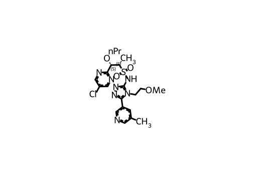 CCCO[C@@H](c1ncc(Cl)cn1)[C@H](C)S(=O)(=O)Nc1nnc(-c2cncc(C)c2)n1CCOC